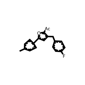 CC(=O)c1oc(-c2ccc(C)cc2)cc1Cc1ccc(F)cc1